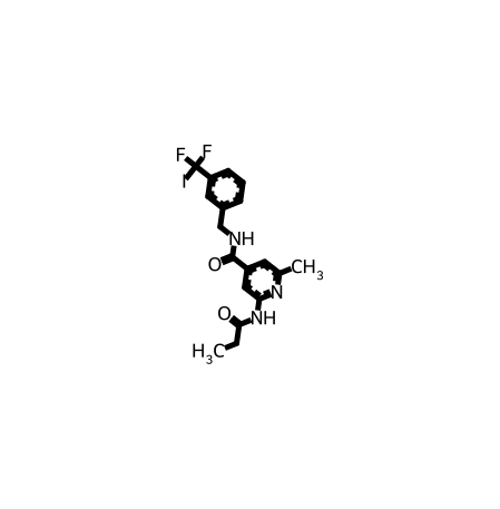 CCC(=O)Nc1cc(C(=O)NCc2cccc(C(F)(F)I)c2)cc(C)n1